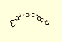 CNc1cc(-c2ccc3cc(C#N)cnn23)ncc1-c1nnc(N2CCC(N3CCN(C(=O)c4ccc5c(c4)C(=O)N(C4CCC(=O)NC4=O)C5=O)CC3)CC2)s1